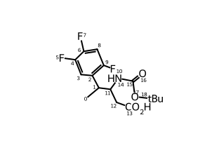 CC(c1cc(F)c(F)cc1F)C(CC(=O)O)NC(=O)OC(C)(C)C